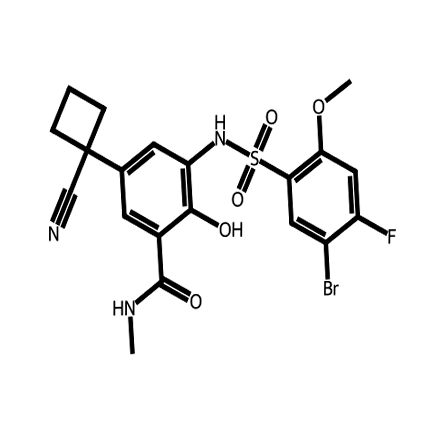 CNC(=O)c1cc(C2(C#N)CCC2)cc(NS(=O)(=O)c2cc(Br)c(F)cc2OC)c1O